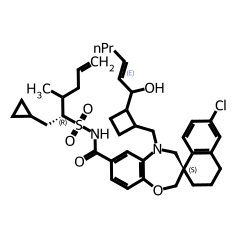 C=CCC(C)[C@@H](CC1CC1)S(=O)(=O)NC(=O)c1ccc2c(c1)N(CC1CCC1C(O)/C=C/CCC)C[C@@]1(CCCc3cc(Cl)ccc31)CO2